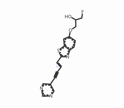 OC(CF)COc1ccc2nc(/C=C/C#Cc3cn[c]nc3)sc2c1